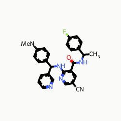 CNc1ccc(C(Nc2ncc(C#N)cc2C(=O)NC(C)c2ccc(F)cc2)c2cccnc2)cc1